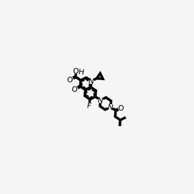 CC(C)CC(=O)N1CCN(c2cc3c(cc2F)c(=O)c(C(=O)O)cn3C2CC2)CC1